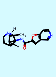 C[C@H]1[C@H](NC(=O)c2cc3cnccc3o2)C2CCN1CC2